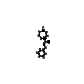 CN1CCCN(C(=O)OCc2ccccc2)CC1